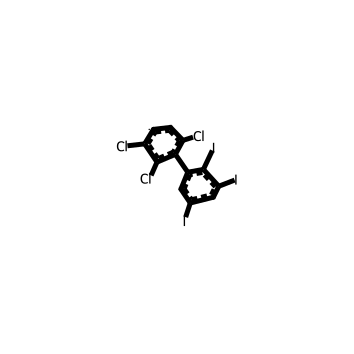 Clc1[c]cc(Cl)c(-c2cc(I)cc(I)c2I)c1Cl